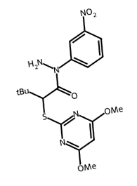 COc1cc(OC)nc(SC(C(=O)N(N)c2cccc([N+](=O)[O-])c2)C(C)(C)C)n1